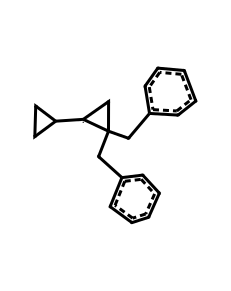 c1ccc(CC2(Cc3ccccc3)C[C]2C2CC2)cc1